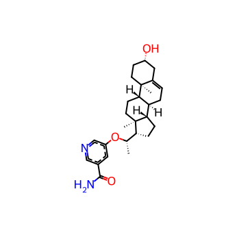 C[C@H](Oc1cncc(C(N)=O)c1)[C@H]1CC[C@H]2[C@@H]3CC=C4C[C@@H](O)CC[C@]4(C)[C@H]3CC[C@]12C